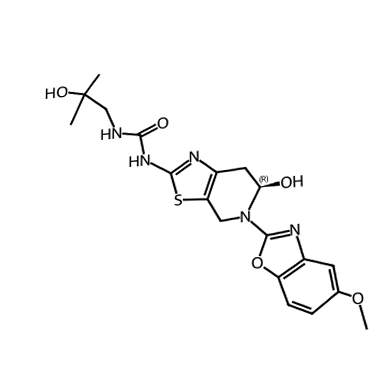 COc1ccc2oc(N3Cc4sc(NC(=O)NCC(C)(C)O)nc4C[C@H]3O)nc2c1